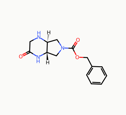 O=C1CN[C@H]2CN(C(=O)OCc3ccccc3)C[C@@H]2N1